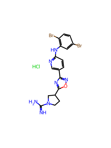 Cl.N=C(N)N1CCC(c2nc(-c3ccc(Nc4cc(Br)ccc4Br)nc3)no2)C1